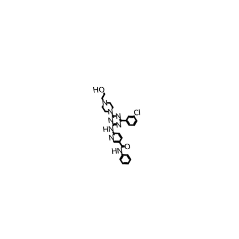 O=C(Nc1ccccc1)c1ccc(Nc2nc(-c3cccc(Cl)c3)nc(N3CCN(CCO)CC3)n2)nc1